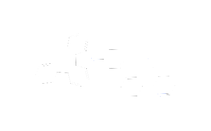 N#CC1C=CC=NC1[C@H]1C=C(C2=CCCC(n3c4ccccc4c4c5c(ccc43)OC3C=CC=CC53)C2)C=CC1